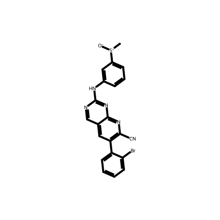 C[S+]([O-])c1cccc(Nc2ncc3cc(-c4ccccc4Br)c(C#N)nc3n2)c1